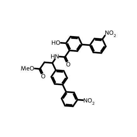 COC(=O)CC(NC(=O)c1cc(-c2cccc([N+](=O)[O-])c2)ccc1O)c1ccc(-c2cccc([N+](=O)[O-])c2)cc1